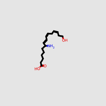 NC(/C=C/C=C\C/C=C\CCO)CCCCCC(=O)O